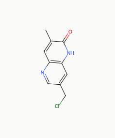 Cc1cc2ncc(CCl)cc2[nH]c1=O